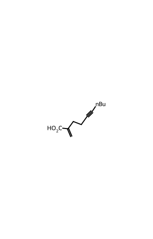 C=C(CCC#CCCCC)C(=O)O